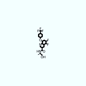 C[C@H](CO)NC(=O)c1cnc2c(Oc3ccc(C(F)(F)F)cc3)cc(F)c(F)c2c1